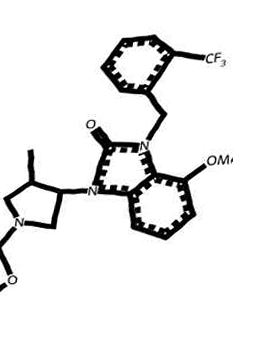 COc1cccc2c1n(Cc1ccccc1C(F)(F)F)c(=O)n2C1CN(C(=O)OC(C)(C)C)CC1C